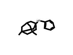 CC12CC3CC(C)(C1)CC(Pc1ccccc1)(C3)C2